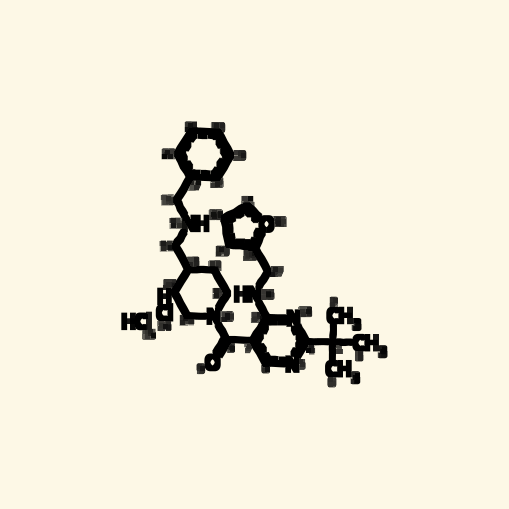 CC(C)(C)c1ncc(C(=O)N2CCC(CNCc3ccccc3)CC2)c(NCc2ccco2)n1.Cl.Cl